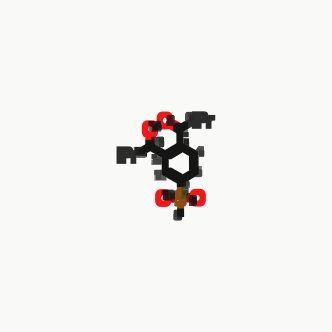 CC(C)C(=O)c1ccc(S(C)(=O)=O)cc1C(=O)C(C)C